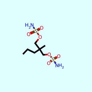 CCCC(C)(COS(N)(=O)=O)COS(N)(=O)=O